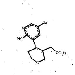 N#Cc1ncc(Br)cc1N1CCOCC1CC(=O)O